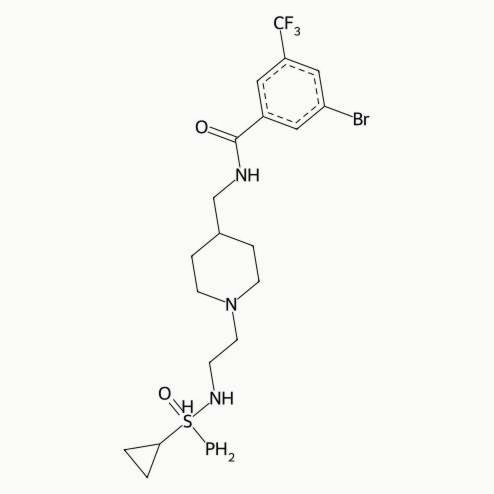 O=C(NCC1CCN(CCN[SH](=O)(P)C2CC2)CC1)c1cc(Br)cc(C(F)(F)F)c1